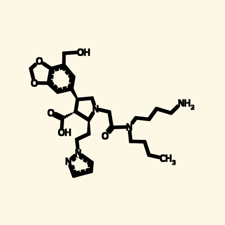 CCCCN(CCCCN)C(=O)CN1C[C@H](c2cc(CO)c3c(c2)OCO3)[C@@H](C(=O)O)[C@@H]1CCn1cccn1